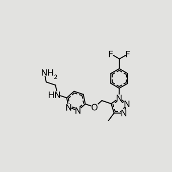 Cc1nnn(-c2ccc(C(F)F)cc2)c1COc1ccc(NCCN)nn1